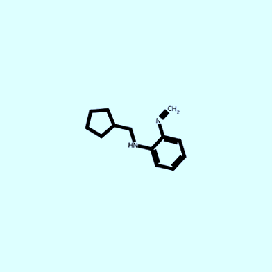 C=Nc1ccccc1NCC1CCCC1